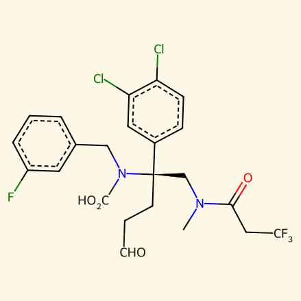 CN(C[C@](CCC=O)(c1ccc(Cl)c(Cl)c1)N(Cc1cccc(F)c1)C(=O)O)C(=O)CC(F)(F)F